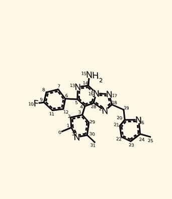 Cc1cc(-c2c(-c3ccc(F)cc3)nc(N)n3nc(Cc4cccc(C)n4)nc23)cc(C)n1